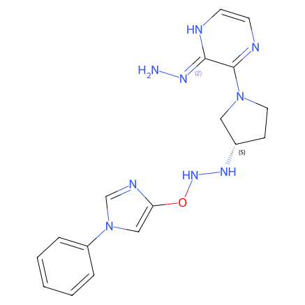 N/N=c1\[nH]ccnc1N1CC[C@H](NNOc2cn(-c3ccccc3)cn2)C1